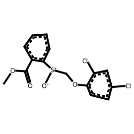 COC(=O)c1ccccc1[S+]([O-])COc1ccc(Cl)cc1Cl